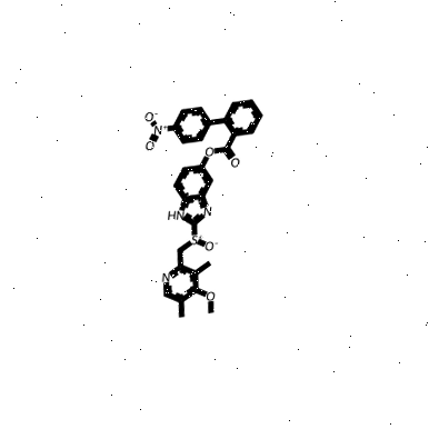 COc1c(C)cnc(C[S+]([O-])c2nc3cc(OC(=O)c4ccccc4-c4ccc([N+](=O)[O-])cc4)ccc3[nH]2)c1C